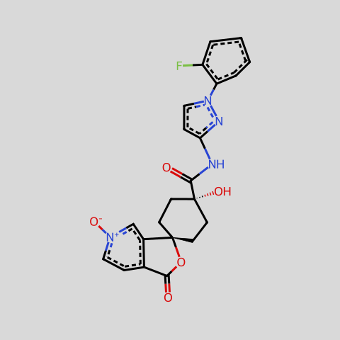 O=C1O[C@]2(CC[C@](O)(C(=O)Nc3ccn(-c4ccccc4F)n3)CC2)c2c[n+]([O-])ccc21